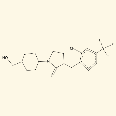 O=C1C(Cc2ccc(C(F)(F)F)cc2Cl)CCN1C1CCC(CO)CC1